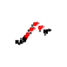 O=[SiH4+2].[Hf+4].[O-2].[O-2].[O-2]